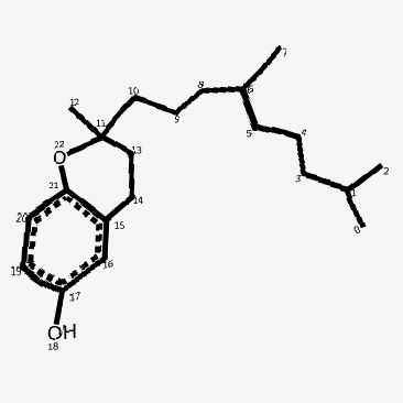 CC(C)CCCC(C)CCCC1(C)CCc2cc(O)ccc2O1